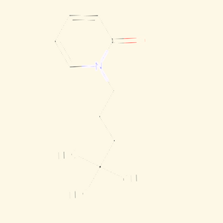 CC(C)(C)CCCn1ccccc1=O